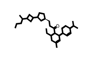 CCCC(C)C1CC(C2CC[C@@H](CCC(=O)C3C(CC)CC(C)=CC3C3C=CC(C(C)C)CC3)C2)C1